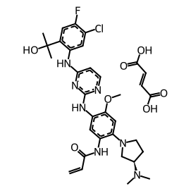 C=CC(=O)Nc1cc(Nc2nccc(Nc3cc(Cl)c(F)cc3C(C)(C)O)n2)c(OC)cc1N1CC[C@@H](N(C)C)C1.O=C(O)/C=C/C(=O)O